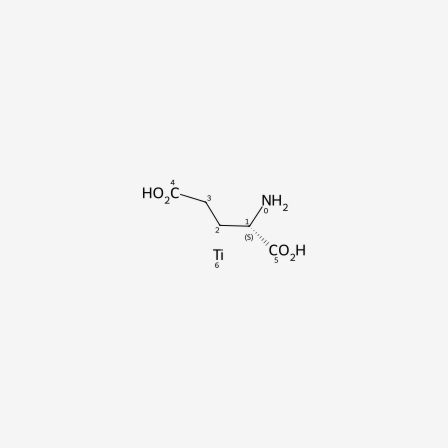 N[C@@H](CCC(=O)O)C(=O)O.[Ti]